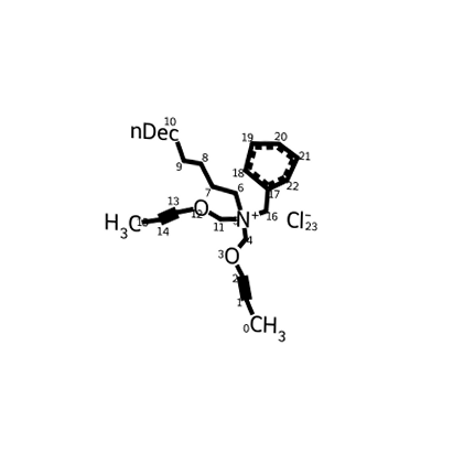 CC#COC[N+](CCCCCCCCCCCCCC)(COC#CC)Cc1ccccc1.[Cl-]